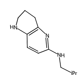 CC(C)CNc1ccc2c(n1)CCCN2